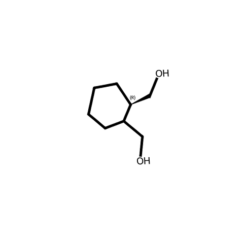 OCC1CCCC[C@H]1CO